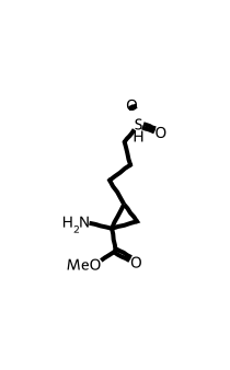 COC(=O)C1(N)CC1CCC[SH](=O)=O